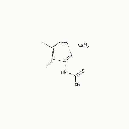 Cc1cccc(NC(=S)S)c1C.[CaH2]